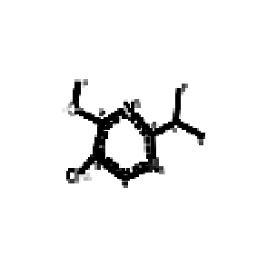 COc1nc(C(C)C)ncc1Cl